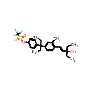 CCC(O)(C=Cc1ccc(C(CC)(CC)c2ccc(OS(=O)(=O)C(F)(F)F)cc2)cc1C)CC